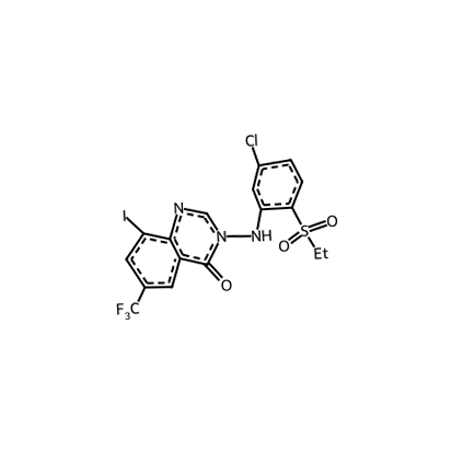 CCS(=O)(=O)c1ccc(Cl)cc1Nn1cnc2c(I)cc(C(F)(F)F)cc2c1=O